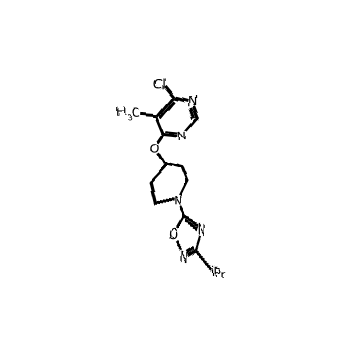 Cc1c(Cl)ncnc1OC1CCN(c2nc(C(C)C)no2)CC1